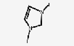 IN1C=CN(I)C1